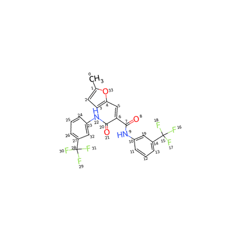 Cc1ccc(C=C(C(=O)Nc2cccc(C(F)(F)F)c2)C(=O)Nc2cccc(C(F)(F)F)c2)o1